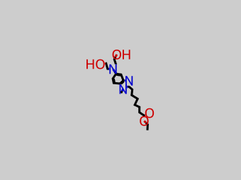 CCOC(=O)CCCCCCc1nc2cc(N(CCO)CCO)ccc2n1C